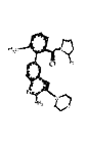 CCC1CCCN1C(=O)c1cccc(C)c1-c1ccc2nc(N)c(N3CCOCC3)cc2c1